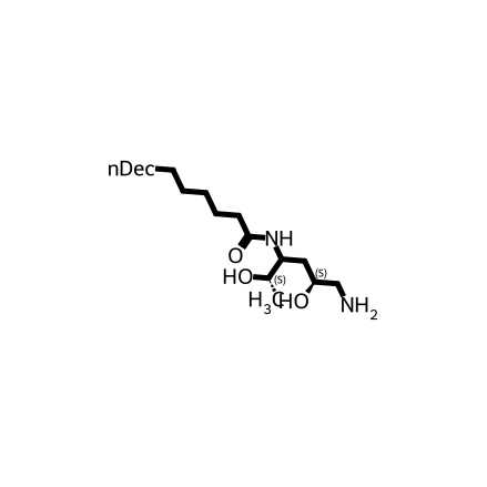 CCCCCCCCCCCCCCCC(=O)NC(C[C@H](O)CN)[C@H](C)O